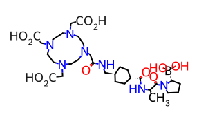 C[C@@H](NC(=O)[C@H]1CC[C@H](CNC(=O)CN2CCN(CC(=O)O)CCN(CC(=O)O)CCN(CC(=O)O)CC2)CC1)C(=O)N1CCC[C@H]1B(O)O